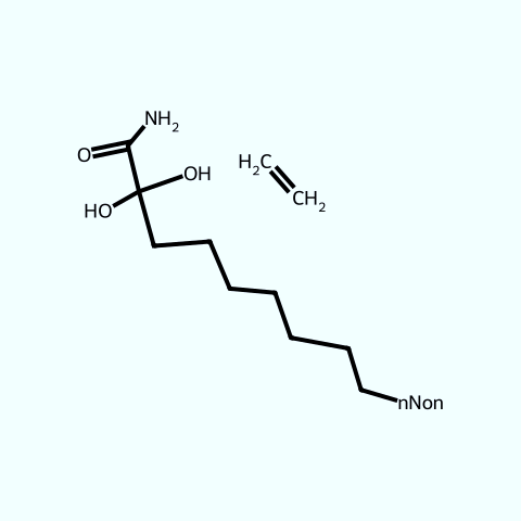 C=C.CCCCCCCCCCCCCCCCC(O)(O)C(N)=O